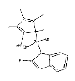 CCCC1=C(C)C(C)=C(C)[C]1(C)[Zr]([Br])([Br])[CH]1C(CC)=Cc2ccccc21